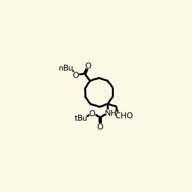 CCCCOC(=O)C1CCCCC(CC=O)(NC(=O)OC(C)(C)C)CCCC1